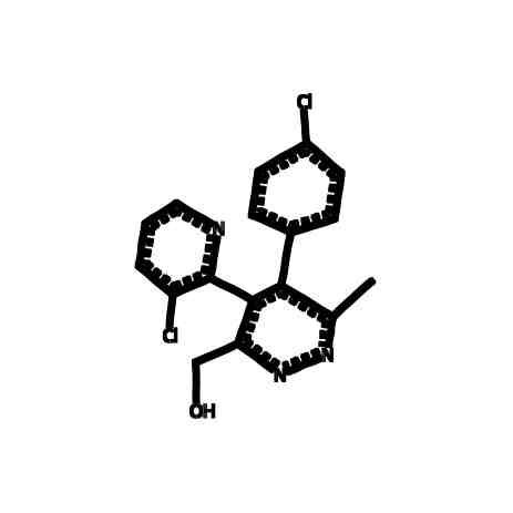 Cc1nnc(CO)c(-c2ncccc2Cl)c1-c1ccc(Cl)cc1